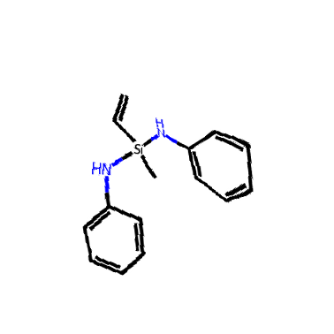 C=C[Si](C)(Nc1ccccc1)Nc1ccccc1